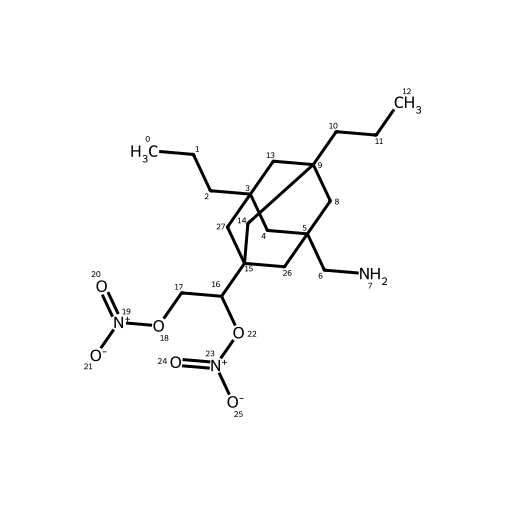 CCCC12CC3(CN)CC(CCC)(C1)CC(C(CO[N+](=O)[O-])O[N+](=O)[O-])(C3)C2